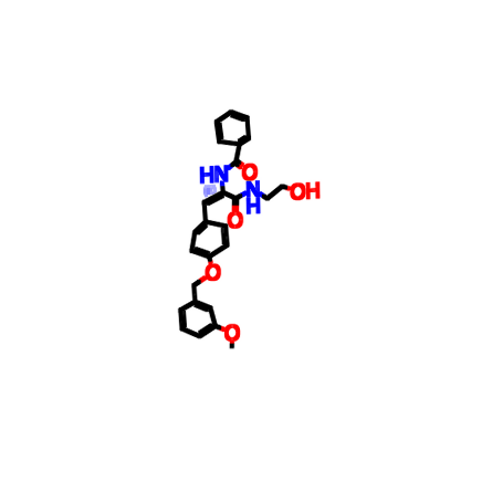 COc1cccc(COc2ccc(/C=C(/NC(=O)c3ccccc3)C(=O)NCCO)cc2)c1